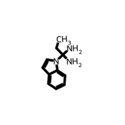 CCC(N)(N)n1ccc2ccccc21